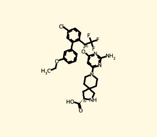 CCOc1cccc(-c2cc(Cl)ccc2[C@@H](Oc2cc(N3CCC4(CC3)CN[C@H](C(=O)O)C4)nc(N)n2)C(F)(F)F)c1